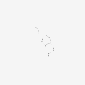 C=CCc1ccc2ccc(=O)oc2c1